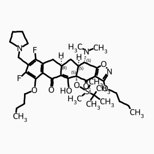 CCCCOc1noc2c1C(=O)[C@@]1(O[Si](C)(C)C(C)(C)C)C(O)=C3C(=O)c4c(c(F)c(CN5CCCC5)c(F)c4OCCCC)C[C@H]3C[C@H]1[C@@H]2N(C)C